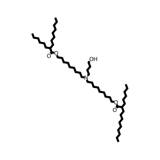 CCCCCCCCCC(CCCCCC)C(=O)OCCCCCCCCCN(CCCCO)CCCCCCCCCOC(=O)C(CCCCCC)CCCCCCCC